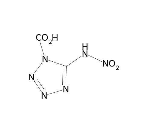 O=C(O)n1nnnc1N[N+](=O)[O-]